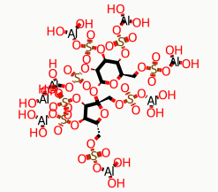 O=S(=O)(OC[C@H]1O[C@@](COS(=O)(=O)[O][Al]([OH])[OH])(O[C@H]2O[C@H](COS(=O)(=O)[O][Al]([OH])[OH])[C@@H](OS(=O)(=O)[O][Al]([OH])[OH])[C@H](OS(=O)(=O)[O][Al]([OH])[OH])[C@H]2OS(=O)(=O)[O][Al]([OH])[OH])[C@@H](OS(=O)(=O)[O][Al]([OH])[OH])[C@@H]1OS(=O)(=O)[O][Al]([OH])[OH])[O][Al]([OH])[OH]